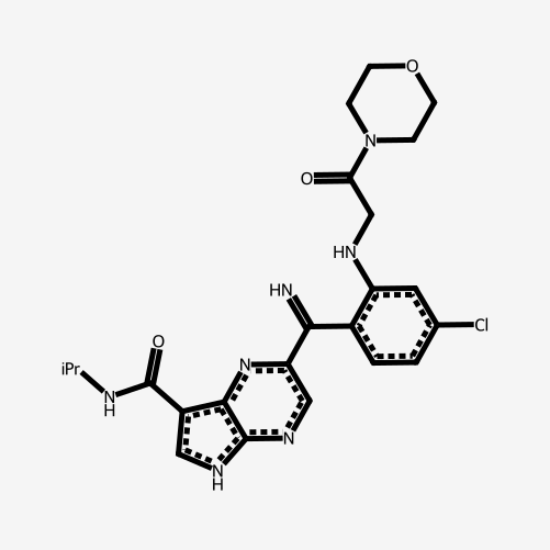 CC(C)NC(=O)c1c[nH]c2ncc(C(=N)c3ccc(Cl)cc3NCC(=O)N3CCOCC3)nc12